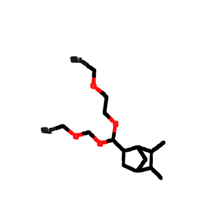 CC1C2CC(C(OCCOCC(C)(C)C)OCOCC(C)(C)C)C(C2)C1C